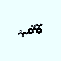 CNC(=O)CCc1ccc(C(N)c2ccccc2[N+](=O)[O-])cc1